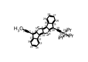 CC#CC1=c2sc3c4c(sc3c2-c2ccccc21)=C(C#C[Si](C(C)C)(C(C)C)C(C)C)c1ccccc1-4